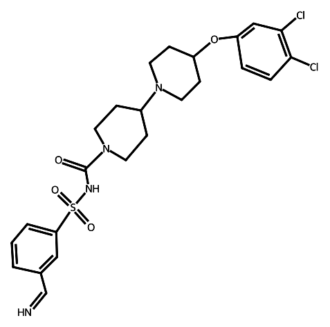 N=Cc1cccc(S(=O)(=O)NC(=O)N2CCC(N3CCC(Oc4ccc(Cl)c(Cl)c4)CC3)CC2)c1